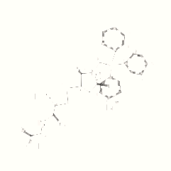 NC(CSC1CC(=O)N(C[P+](c2ccccc2)(c2ccccc2)c2ccccc2)C1=O)C(=O)NCC(=O)O.[Br-]